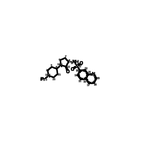 CC(C)N1CCC(N2CC[C@H](NS(=O)(=O)c3ccc4cccnc4c3)C2=O)CC1